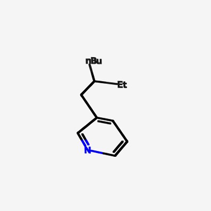 CCCCC(CC)Cc1cccnc1